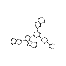 C1=CC(c2ccc(-c3nc(-c4ccc5ccccc5c4)nc(-c4ccc(-c5ccc6ccccc6c5)c5oc6ccccc6c45)n3)cc2)=CCC1